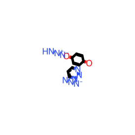 O=C1C=CC(=O)C=C1.[N-]=[N+]=N.[N-]=[N+]=[N-].c1cnnnc1